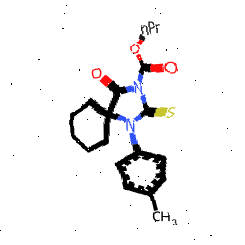 CCCOC(=O)N1C(=O)C2(CCCCC2)N(c2ccc(C)cc2)C1=S